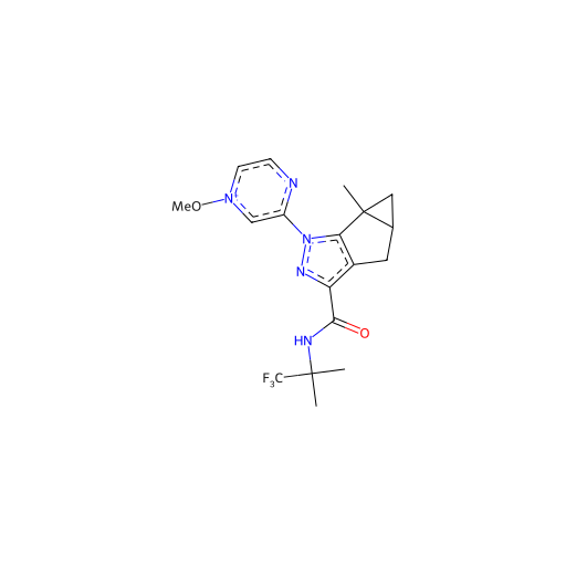 CO[n+]1ccnc(-n2nc(C(=O)NC(C)(C)C(F)(F)F)c3c2C2(C)CC2C3)c1